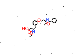 CCO/N=C(\CC(=O)O)Cc1cccc(OCCc2nc(-c3ccccc3)oc2C)c1